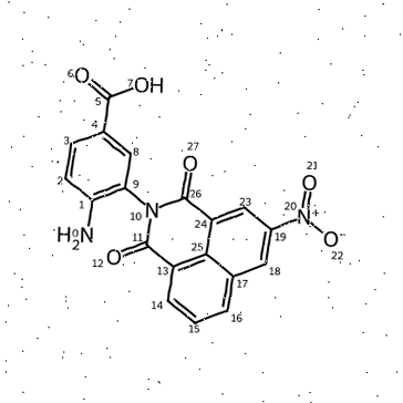 Nc1ccc(C(=O)O)cc1N1C(=O)c2cccc3cc([N+](=O)[O-])cc(c23)C1=O